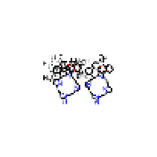 C1=Cc2cc3c(-c4ccccc4)c(-c4ccccc4)c(c(-c4ccccc4)c4nc(cc5ccc(cc1n2)[nH]5)C=C4)n3-c1ccccc1.Cc1cc(C)c(-c2c(-c3c(C)cc(C)cc3C)c3c(-c4c(C)cc(C)cc4C)c4nc(cc5ccc(cc6nc(cc2n3-c2c(C)cc(C)cc2C)C=C6)[nH]5)C=C4)c(C)c1.[Zn].[Zn]